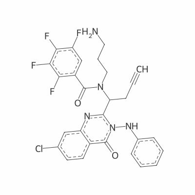 C#CCC(c1nc2cc(Cl)ccc2c(=O)n1Nc1ccccc1)N(CCCN)C(=O)c1cc(F)c(F)c(F)c1F